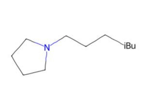 CCC(C)CCCN1CCCC1